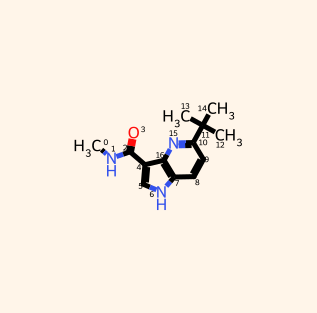 CNC(=O)c1c[nH]c2ccc(C(C)(C)C)nc12